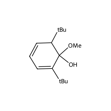 COC1(O)C(C(C)(C)C)=CC=CC1C(C)(C)C